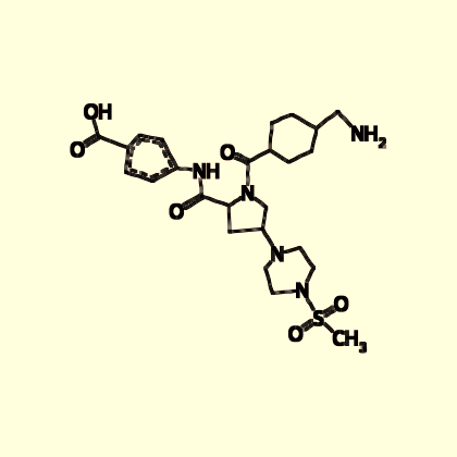 CS(=O)(=O)N1CCN(C2CC(C(=O)Nc3ccc(C(=O)O)cc3)N(C(=O)C3CCC(CN)CC3)C2)CC1